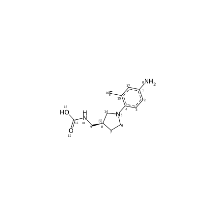 Nc1ccc(N2CC[C@@H](CNC(=O)O)C2)c(F)c1